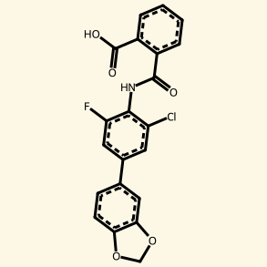 O=C(O)c1ccccc1C(=O)Nc1c(F)cc(-c2ccc3c(c2)OCO3)cc1Cl